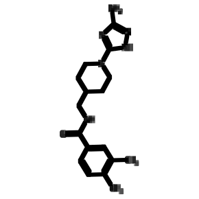 Cc1ccc(C(=O)NCC2CCN(c3nc(N)n[nH]3)CC2)cc1C